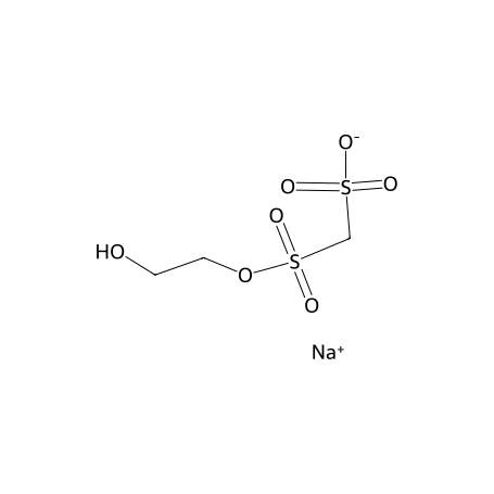 O=S(=O)([O-])CS(=O)(=O)OCCO.[Na+]